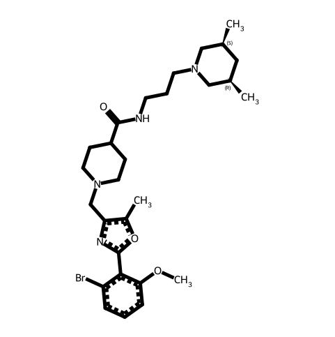 COc1cccc(Br)c1-c1nc(CN2CCC(C(=O)NCCCN3C[C@H](C)C[C@H](C)C3)CC2)c(C)o1